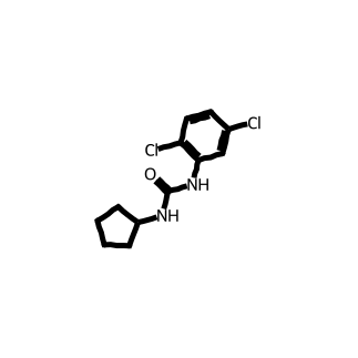 O=C(Nc1cc(Cl)ccc1Cl)NC1CCCC1